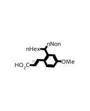 CCCCCCCCCC(CCCCCC)c1cc(OC)ccc1/C=C/C(=O)O